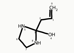 C=CCC1(O)NCCN1